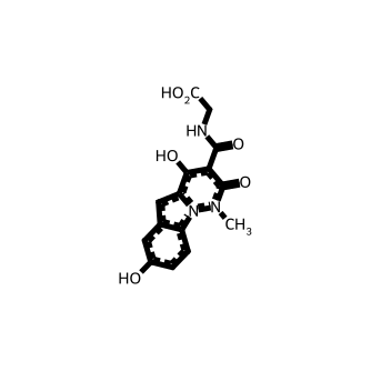 Cn1c(=O)c(C(=O)NCC(=O)O)c(O)c2cc3cc(O)ccc3n21